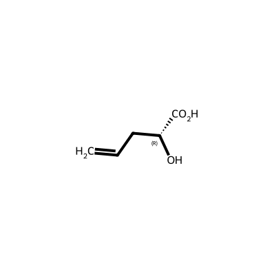 C=CC[C@@H](O)C(=O)O